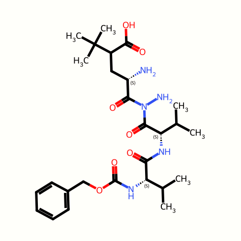 CC(C)[C@H](NC(=O)OCc1ccccc1)C(=O)N[C@H](C(=O)N(N)C(=O)[C@@H](N)CC(C(=O)O)C(C)(C)C)C(C)C